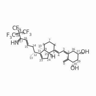 C=C1/C(=C\C=C2/CCC[C@]3(C)C([C@H](C)C/C=C/C(=N)C(C(F)(F)F)(C(F)(F)F)C(F)(F)F)=CC[C@@H]23)C[C@@H](O)C[C@@H]1O